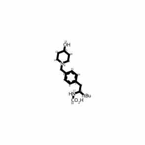 CC(C)(C)C(Cc1ccc(CN2CCC(O)CC2)cc1)NC(=O)O